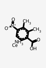 Cc1c(C(=O)O)ccc([N+](=O)[O-])c1C.N.[Ce]